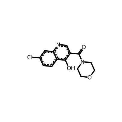 O=C(c1cnc2cc(Cl)ccc2c1O)N1CCOCC1